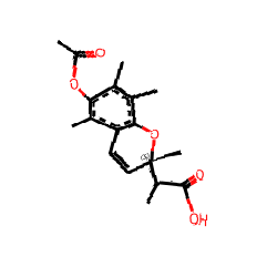 CC(=O)Oc1c(C)c(C)c2c(c1C)C=C[C@@](C)(C(C)C(=O)O)O2